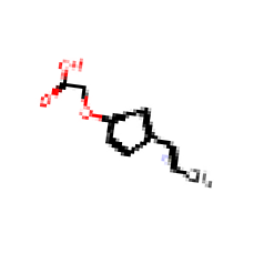 C/C=C/c1ccc(OCC(=O)O)cc1